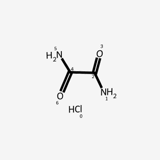 Cl.NC(=O)C(N)=O